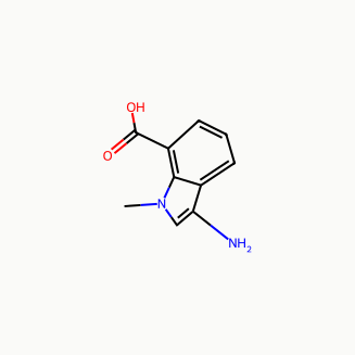 Cn1cc(N)c2cccc(C(=O)O)c21